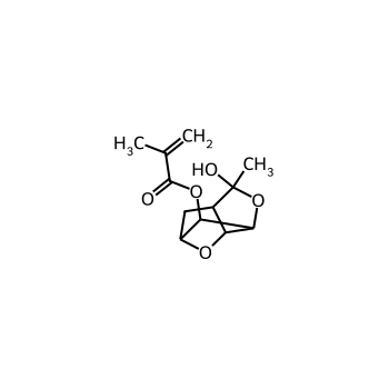 C=C(C)C(=O)OC1C2CC3C(O2)C1OC3(C)O